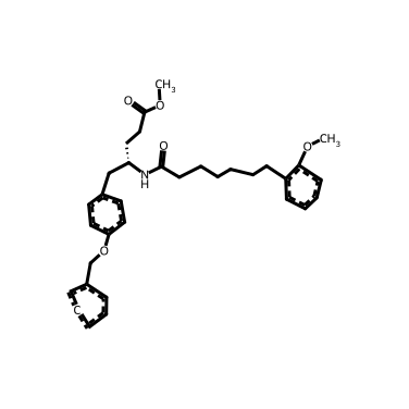 COC(=O)CC[C@@H](Cc1ccc(OCc2ccccc2)cc1)NC(=O)CCCCCCc1ccccc1OC